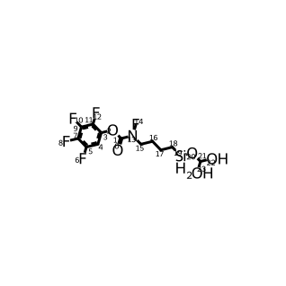 O=C(Oc1cc(F)c(F)c(F)c1F)N(F)CCCC[SiH2]OC(O)O